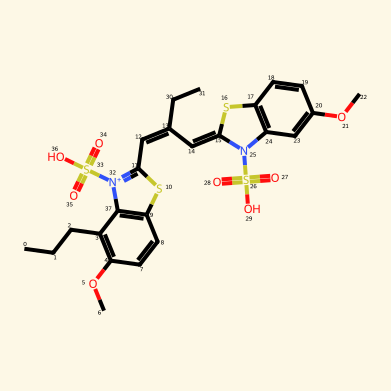 CCCc1c(OC)ccc2sc(C=C(C=C3Sc4ccc(OC)cc4N3S(=O)(=O)O)CC)[n+](S(=O)(=O)O)c12